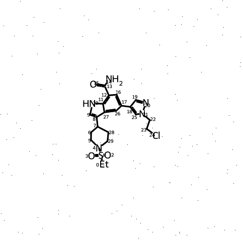 CCS(=O)(=O)N1CCC(c2c[nH]c3c(C(N)=O)cc(-c4cnn(CCCl)c4)cc23)CC1